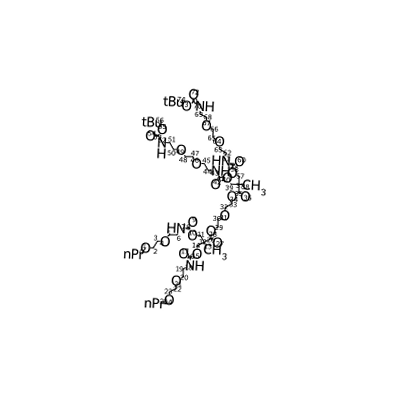 CCCOCCOCCNC(=O)OCC(C)(COC(=O)NCCOCCOCCC)C(=O)OCCOCCOC(=O)C(C)(COC(=O)NCCOCCOCCNC(=O)OC(C)(C)C)COC(=O)NCCOCCOCCNC(=O)OC(C)(C)C